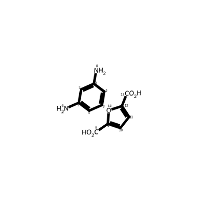 Nc1cccc(N)c1.O=C(O)c1ccc(C(=O)O)o1